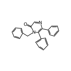 O=c1cnc(-c2ccccc2)c(-c2ccccc2)n1Cc1ccccc1